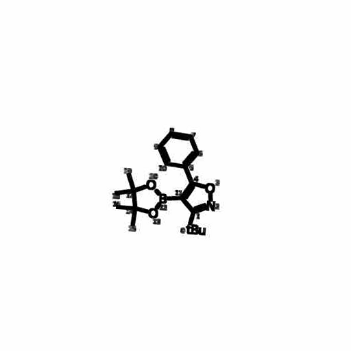 CC(C)(C)c1noc(-c2ccccc2)c1B1OC(C)(C)C(C)(C)O1